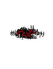 CC[C@H](C)[C@H](NC(=O)[C@H](COC(C)(C)C)NC(=O)[C@H](Cc1ccc(OC(C)(C)C)cc1)NC(=O)[C@H](CC(=O)OC(C)(C)C)NC(=O)[C@H](COC(C)(C)C)NC(=O)[C@@H](NC(=O)[C@](C)(CC)NC(=O)[C@@H](NC(=O)CNC(=O)[C@H](CCC(=O)OC(C)(C)C)NC(=O)C(C)(C)NC(=O)[C@H](Cc1ccc(OC(C)(C)C)cc1)N(C)C(=O)OC(C)(C)C)[C@@H](C)OC(C)(C)C)[C@@H](C)CC)C(=O)NC(C)(C)C(=O)N[C@@H](CCCCN)C(=O)O